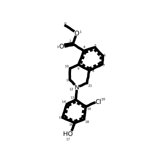 COC(=O)c1cccc2c1CCN(c1ccc(O)cc1Cl)C2